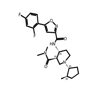 C[C@@H]1CCC[C@H]1N1CC[C@@H](NC(=O)c2cc(-c3ccc(F)cc3F)on2)[C@H](C(=O)N(C)C)C1